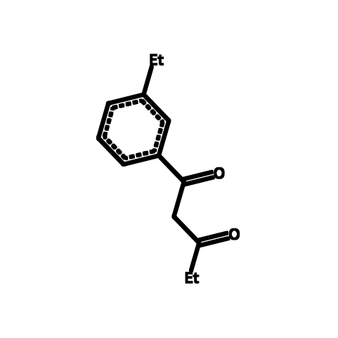 CCC(=O)CC(=O)c1cccc(CC)c1